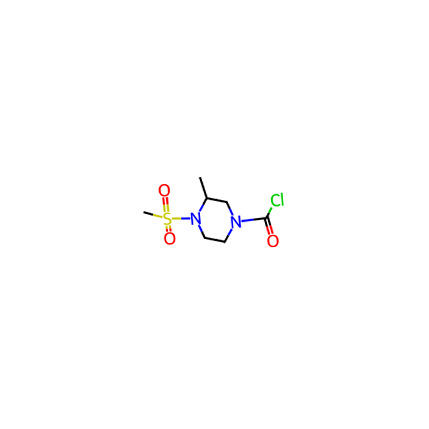 CC1CN(C(=O)Cl)CCN1S(C)(=O)=O